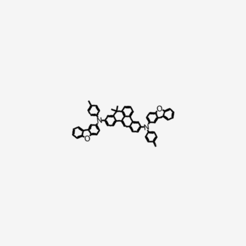 Cc1ccc(N(c2ccc3c(c2)C(C)(C)c2cccc4c2c-3cc2ccc(N(c3ccc(C)cc3)c3ccc5oc6ccccc6c5c3)cc24)c2ccc3oc4ccccc4c3c2)cc1